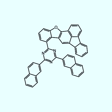 c1ccc2c(c1)-c1cccc3c1c-2cc1c3oc2cccc(-c3nc(-c4ccc5ccccc5c4)nc(-c4ccc5ccccc5c4)n3)c21